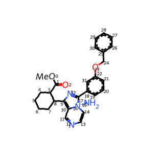 COC(=O)C1CCCCC1C1=C2C=NC=C[N+]2(N)C(c2cccc(OCc3ccccc3)c2)=N1